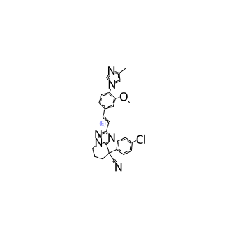 COc1cc(/C=C/c2nc3n(n2)CCCC3(C#N)c2ccc(Cl)cc2)ccc1-n1cnc(C)c1